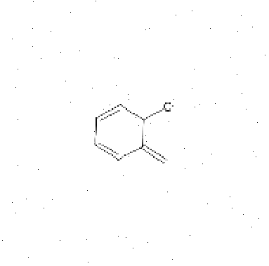 C=C1C=CC=CC1[O]